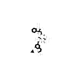 Cc1ccc2cc(C(=O)N(C)[C@@H](CC(C)C)C(=O)N3C[C@]4(C[C@H]3C#N)C(=O)Nc3ccccc34)cc(OC3CC3)c2n1